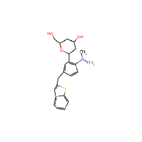 CN(C)c1ccc(Cc2cc3ccccc3s2)cc1C1CC(O)CC(CO)O1